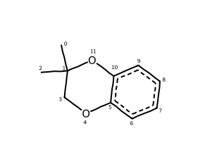 CC1(C)COc2ccccc2O1